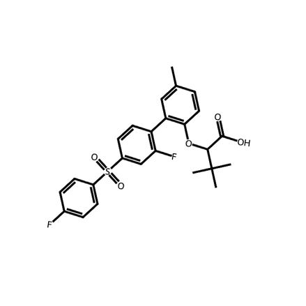 Cc1ccc(OC(C(=O)O)C(C)(C)C)c(-c2ccc(S(=O)(=O)c3ccc(F)cc3)cc2F)c1